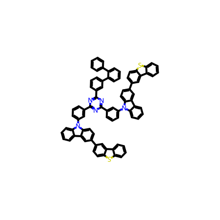 c1ccc(-c2ccccc2-c2cccc(-c3nc(-c4cccc(-n5c6ccccc6c6cc(-c7ccc8sc9ccccc9c8c7)ccc65)c4)nc(-c4cccc(-n5c6ccccc6c6cc(-c7ccc8sc9ccccc9c8c7)ccc65)c4)n3)c2)cc1